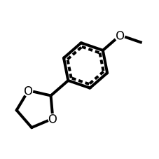 COc1ccc(C2OCCO2)cc1